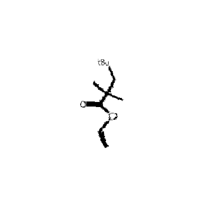 C=COC(=O)C(C)(C)CC(C)(C)C